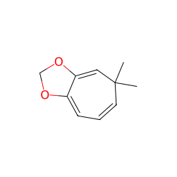 CC1(C)C=CC=C2OCOC2=C1